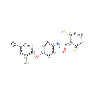 O=C(Nc1ccc(Oc2ccc(C(F)(F)F)cc2Cl)cc1)c1c(F)cccc1F